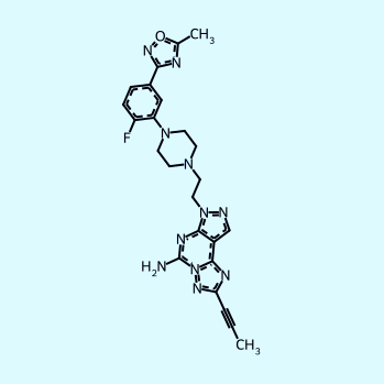 CC#Cc1nc2c3cnn(CCN4CCN(c5cc(-c6noc(C)n6)ccc5F)CC4)c3nc(N)n2n1